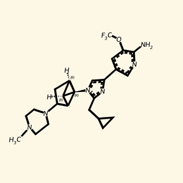 CN1CCN(C2C[C@@H]3[C@@H]4C2[C@@]34n2cc(-c3cnc(N)c(OC(F)(F)F)c3)nc2CC2CC2)CC1